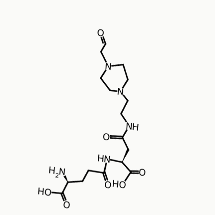 N[C@@H](CCC(=O)N[C@@H](CC(=O)NCCN1CCN(CC=O)CC1)C(=O)O)C(=O)O